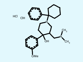 COc1cccc(C2(O)CCN(C3(c4ccccc4)CCCCC3)CC2CN(C)C)c1.Cl.Cl